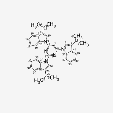 CC(C)c1cn(-c2cc(-n3cc(C(C)C)c4ccccc43)nc(-n3cc(C(C)C)c4ccccc43)n2)c2ccccc12